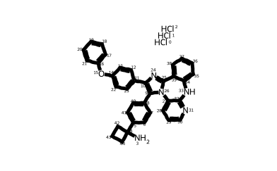 Cl.Cl.Cl.NC1(c2ccc(-c3c(-c4ccc(Oc5ccccc5)cc4)nc4n3-c3cccnc3Nc3ccccc3-4)cc2)CCC1